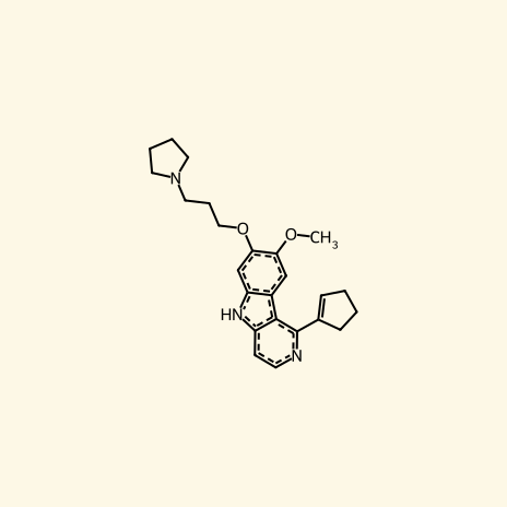 COc1cc2c(cc1OCCCN1CCCC1)[nH]c1ccnc(C3=CCCC3)c12